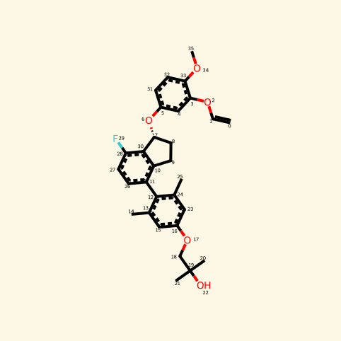 C=COc1cc(O[C@@H]2CCc3c(-c4c(C)cc(OCC(C)(C)O)cc4C)ccc(F)c32)ccc1OC